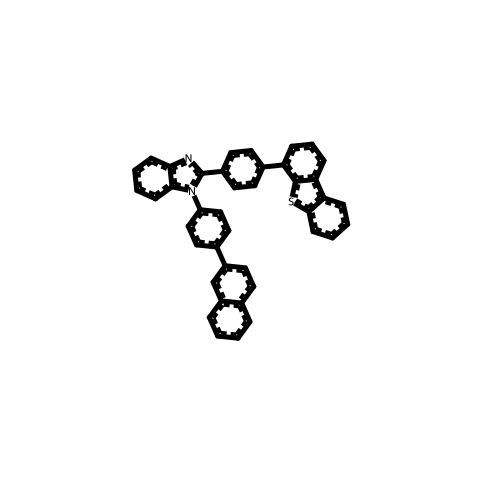 c1ccc2cc(-c3ccc(-n4c(-c5ccc(-c6cccc7c6sc6ccccc67)cc5)nc5ccccc54)cc3)ccc2c1